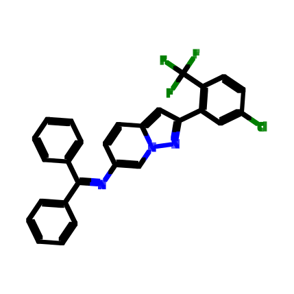 FC(F)(F)c1ccc(Cl)cc1-c1cc2ccc(N=C(c3ccccc3)c3ccccc3)cn2n1